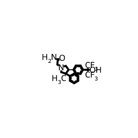 C[C@]1(c2ccccc2)CN(CC(N)=O)C[C@H]1c1ccc(C(O)(C(F)(F)F)C(F)(F)F)cc1